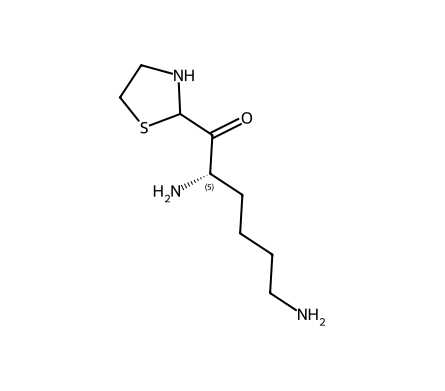 NCCCC[C@H](N)C(=O)C1NCCS1